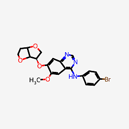 COc1cc2c(Nc3ccc(Br)cc3)ncnc2cc1O[C@@H]1COC2CCOC21